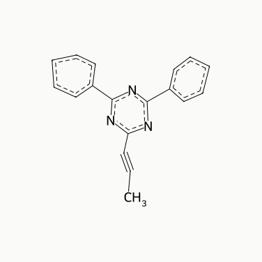 CC#Cc1nc(-c2ccccc2)nc(-c2ccccc2)n1